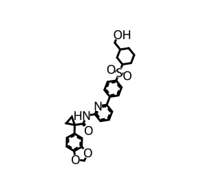 O=C(Nc1cccc(-c2ccc(S(=O)(=O)C3CCCC(CO)C3)cc2)n1)C1(c2ccc3c(c2)OCO3)CC1